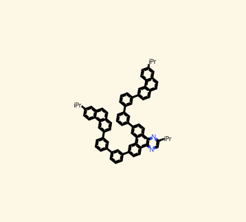 CC(C)c1ccc2c(ccc3ccc(-c4cccc(-c5cccc(-c6ccc7c(c6)c6cc(-c8cccc(-c9cccc(-c%10ccc%11ccc%12cc(C(C)C)ccc%12c%11c%10)c9)c8)ccc6c6nc(C(C)C)cnc76)c5)c4)cc32)c1